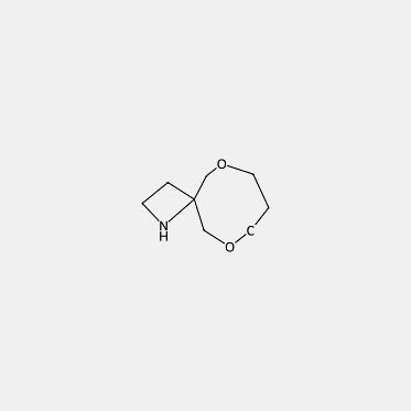 C1COCC2(CCN2)COC1